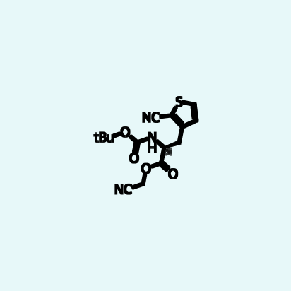 CC(C)(C)OC(=O)N[C@@H](Cc1ccsc1C#N)C(=O)OCC#N